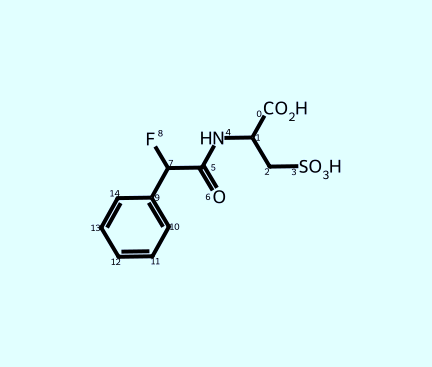 O=C(O)C(CS(=O)(=O)O)NC(=O)C(F)c1ccccc1